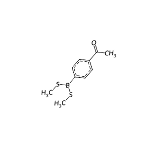 CSB(SC)c1ccc(C(C)=O)cc1